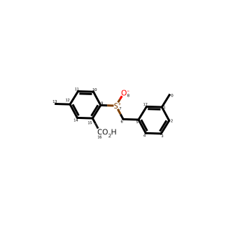 Cc1cccc(C[S+]([O-])c2ccc(C)cc2C(=O)O)c1